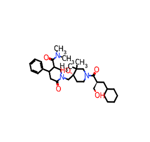 CN(C)C(=O)C1CN(C[C@]2(O)CCN(C(=O)[C@H](CO)CC3CCCCC3)CC2(C)C)C(=O)CC1c1ccccc1